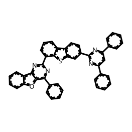 c1ccc(-c2cc(-c3ccccc3)nc(-c3ccc4c(c3)sc3c(-c5nc(-c6ccccc6)c6oc7ccccc7c6n5)cccc34)n2)cc1